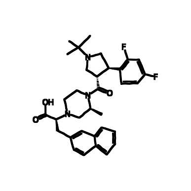 C[C@H]1CN([C@@H](Cc2ccc3ccccc3c2)C(=O)O)CCN1C(=O)[C@@H]1CN(C(C)(C)C)C[C@H]1c1ccc(F)cc1F